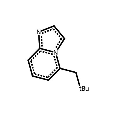 CC(C)(C)Cc1cccc2nccn12